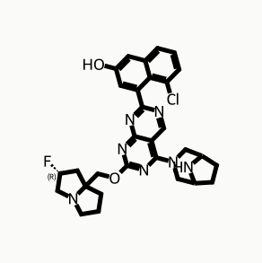 Oc1cc(-c2ncc3c(N4CC5CCC(C4)N5)nc(OCC45CCCN4C[C@H](F)C5)nc3n2)c2c(Cl)cccc2c1